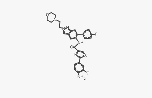 Nc1ccc(-c2nc(C(=O)Nc3cc4cn(CCN5CCOCC5)nc4cc3-c3ccc(F)cc3)cs2)cc1F